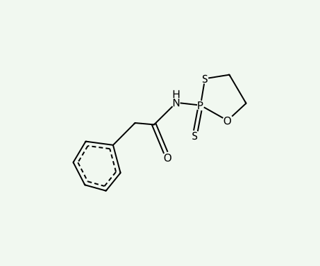 O=C(Cc1ccccc1)NP1(=S)OCCS1